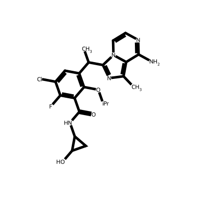 Cc1nc(C(C)c2cc(Cl)c(F)c(C(=O)NC3CC3O)c2OC(C)C)n2ccnc(N)c12